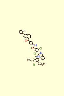 C1=CNc2ccccc2C=N1.Cc1ccc(C(=O)O)cc1C(=O)O.Cl.O=C(Nc1ccc(C(=O)C2=c3ccc4c(c3CCC2)CC=c2ccccc2=4)cc1)c1cc(Cl)cc(Cl)c1